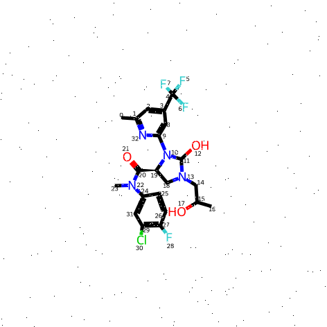 Cc1cc(C(F)(F)F)cc(N2C(O)N(CC(C)O)C[C@H]2C(=O)N(C)c2ccc(F)c(Cl)c2)n1